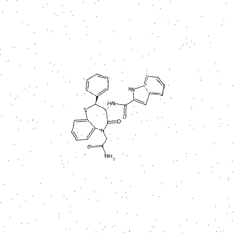 NC(=O)CN1C(=O)[C@@H](NC(=O)c2cc3ccccc3[nH]2)[C@H](c2ccccc2)Sc2ccccc21